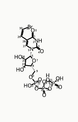 O=c1[nH]c(=O)n([C@@H]2O[C@H](COP(=O)(O)OP(=O)(O)OP(=O)(O)O)[C@@H](O)[C@H]2O)cc1/C=C\Br